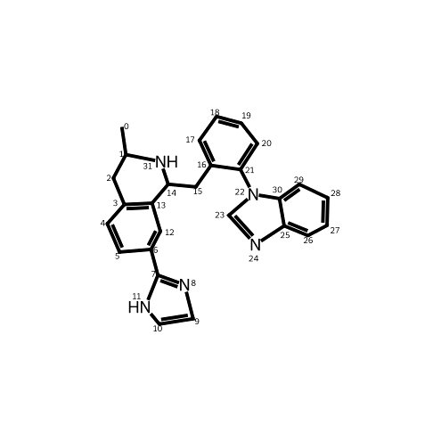 CC1Cc2ccc(-c3ncc[nH]3)cc2C(Cc2ccccc2-n2cnc3ccccc32)N1